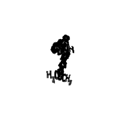 CC1CN(C2CCN(c3ccc(NC(=O)C(=O)c4c(-c5ccccc5)cc5ccccn45)cc3)CC2)CC(C)O1